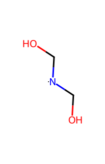 OC[N]CO